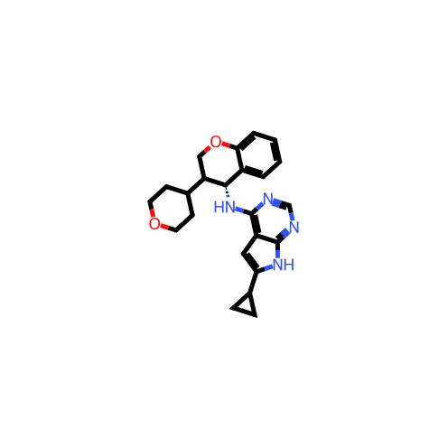 c1ccc2c(c1)OCC(C1CCOCC1)[C@H]2Nc1ncnc2[nH]c(C3CC3)cc12